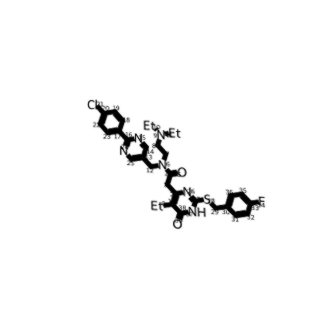 CCc1c(CC(=O)N(CCN(CC)CC)Cc2cnc(-c3ccc(Cl)cc3)nc2)nc(SCc2ccc(F)cc2)[nH]c1=O